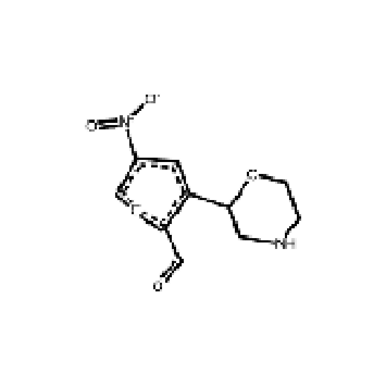 O=Cc1ccc([N+](=O)[O-])cc1C1CNCCO1